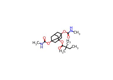 CCC(C)(C)C(=O)OC12CC3CC(OC(=O)NC)(CC(OC(=O)NC)(C3)C1)C2